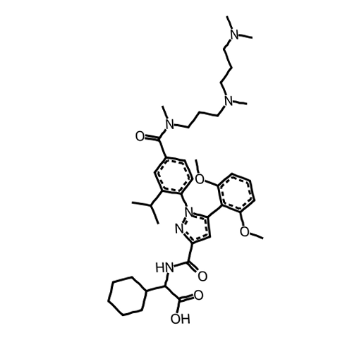 COc1cccc(OC)c1-c1cc(C(=O)NC(C(=O)O)C2CCCCC2)nn1-c1ccc(C(=O)N(C)CCCN(C)CCCN(C)C)cc1C(C)C